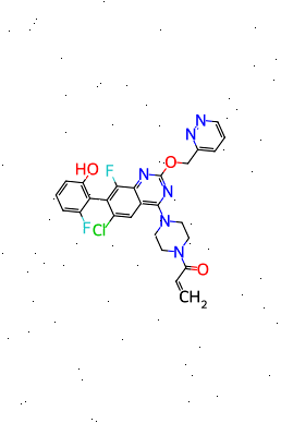 C=CC(=O)N1CCN(c2nc(OCc3cccnn3)nc3c(F)c(-c4c(O)cccc4F)c(Cl)cc23)CC1